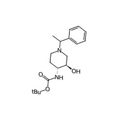 CC(c1ccccc1)N1CC[C@@H](NC(=O)OC(C)(C)C)[C@H](O)C1